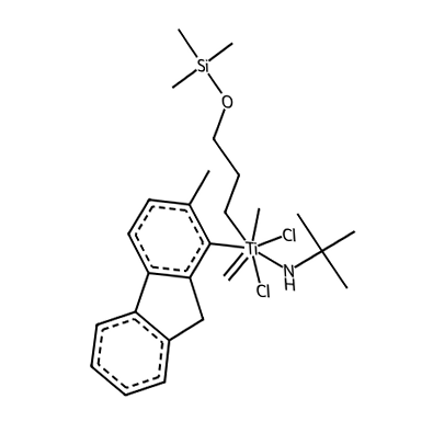 [CH2]=[Ti]([CH3])([Cl])([Cl])([CH2]CCO[Si](C)(C)C)([NH]C(C)(C)C)[c]1c(C)ccc2c1Cc1ccccc1-2